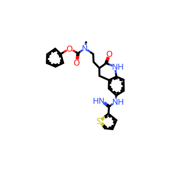 CN(CCC1Cc2cc(NC(=N)c3cccs3)ccc2NC1=O)C(=O)Oc1ccccc1